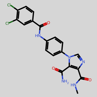 CNC(=O)c1ncn(-c2ccc(NC(=O)c3ccc(Cl)c(Cl)c3)cc2)c1C(N)=O